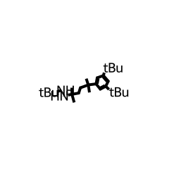 CC(C)(C)NNC(C)(C)CCC(C)(C)c1cc(C(C)(C)C)cc(C(C)(C)C)c1